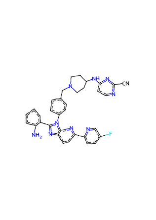 N#Cc1nccc(NC2CCN(Cc3ccc(-n4c(-c5ccccc5N)nc5ccc(-c6ccc(F)cn6)nc54)cc3)CC2)n1